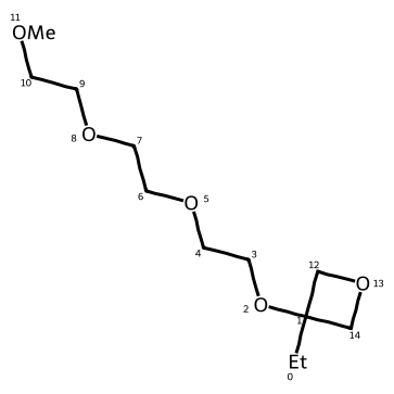 CCC1(OCCOCCOCCOC)COC1